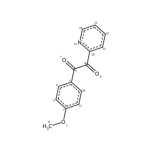 COc1ccc(C(=O)C(=O)c2ccccn2)cc1